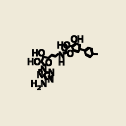 Cc1ccc(-c2cc(O)c(O)c(OC(=O)NCC=CC3OC(n4cnc5c(N)ncnc54)C(O)C3O)c2)cc1